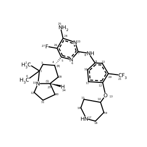 CC1(C)C[C@H](c2nc(Nc3ccc(OC4CCNCC4)c(C(F)(F)F)c3)nc(N)c2F)C[C@@H]2CCCN21